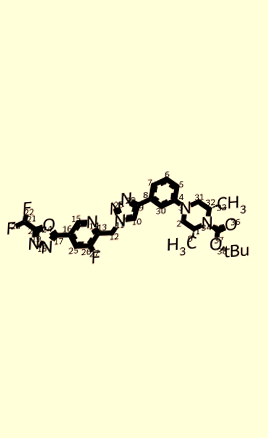 C[C@@H]1CN(c2cccc(-c3cn(Cc4ncc(-c5nnc(C(F)F)o5)cc4F)nn3)c2)C[C@H](C)N1C(=O)OC(C)(C)C